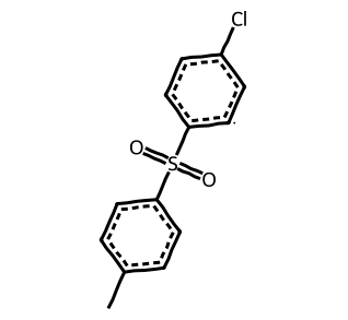 Cc1ccc(S(=O)(=O)c2[c]cc(Cl)cc2)cc1